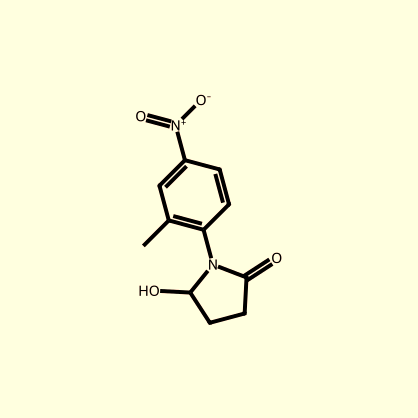 Cc1cc([N+](=O)[O-])ccc1N1C(=O)CCC1O